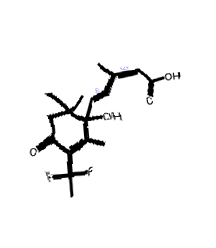 CC1=C(C(C)(F)F)C(=O)CC(C)(C)C1(O)/C=C/C(C)=C\C(=O)O